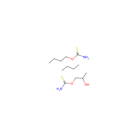 CC(O)COC(N)=S.CCCC.CCCCOC(N)=S